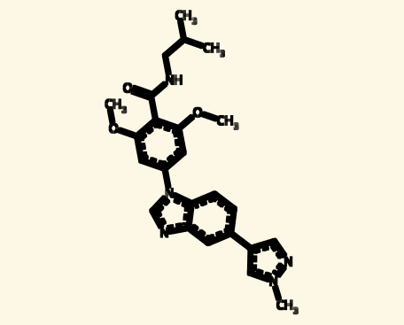 COc1cc(-n2cnc3cc(-c4cnn(C)c4)ccc32)cc(OC)c1C(=O)NCC(C)C